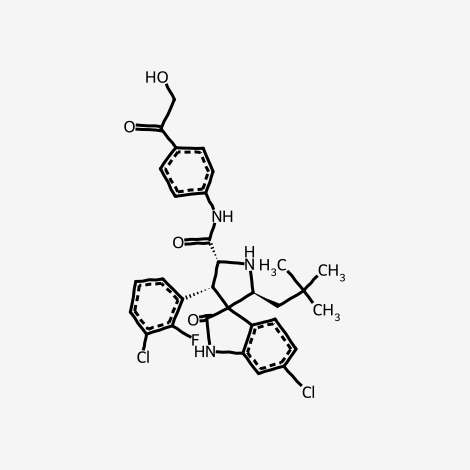 CC(C)(C)C[C@@H]1N[C@@H](C(=O)Nc2ccc(C(=O)CO)cc2)[C@@H](c2cccc(Cl)c2F)C12C(=O)Nc1cc(Cl)ccc12